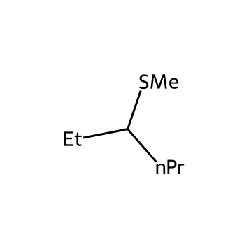 [CH2]SC(CC)CCC